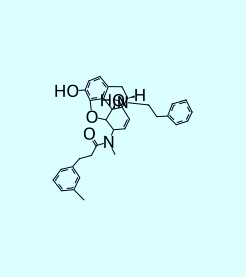 Cc1cccc(CCC(=O)N(C)C2C=C[C@@]3(O)[C@H]4Cc5ccc(O)c6c5[C@@]3(CCN4CCc3ccccc3)C2O6)c1